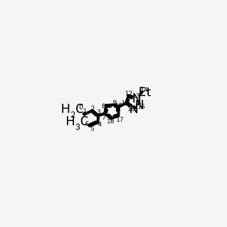 C=C/C=C(\C=C/C)c1ccc(-c2cn(CC)nn2)cc1